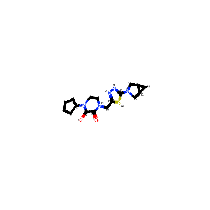 O=C1C(=O)N(C2CCCC2)CCN1Cc1nnc(N2CC3CC3C2)s1